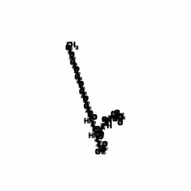 COCCOCCOCCOCCOCCOCCOCCOCCOCCOCC(=O)NCCCC[C@H](NC(=O)CCCN1C(=O)C=CC1=O)C(=O)NCCCC(=O)NCC(=O)ON1C(=O)CCC1=O